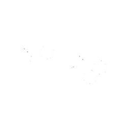 C[C@@H](NC1CCCC(c2ccc(C(=O)N(C)C)cc2)C1)c1cccc2ccccc12